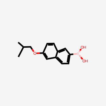 CC(C)COc1ccc2cc(B(O)O)ccc2c1